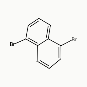 Brc1cccc2c(Br)cc[c]c12